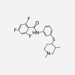 CC1CN(C)CCC1Sc1cccc(NC(=O)c2c(F)cc(F)cc2F)c1